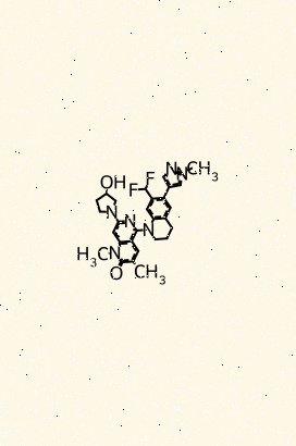 Cc1cc2c(N3CCCc4cc(-c5cnn(C)c5)c(C(F)F)cc43)nc(N3CC[C@@H](O)C3)cc2n(C)c1=O